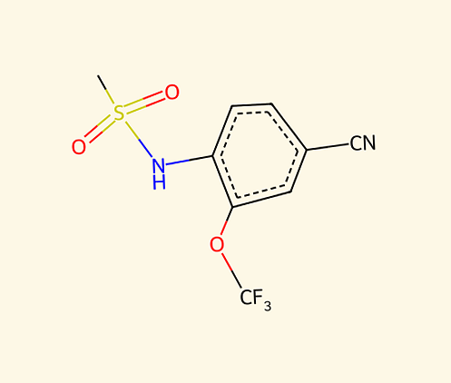 CS(=O)(=O)Nc1ccc(C#N)cc1OC(F)(F)F